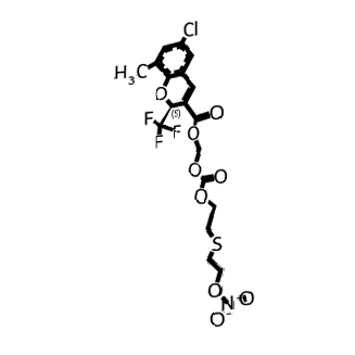 Cc1cc(Cl)cc2c1O[C@H](C(F)(F)F)C(C(=O)OCOC(=O)OCCSCCO[N+](=O)[O-])=C2